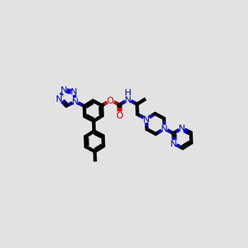 Cc1ccc(-c2cc(OC(=O)NC(C)CN3CCN(c4ncccn4)CC3)cc(-n3cnnn3)c2)cc1